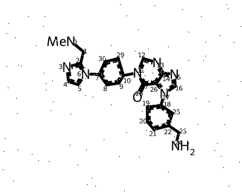 CNCc1nccn1-c1ccc(-n2cnc3ncn(-c4cccc(CN)c4)c3c2=O)cc1